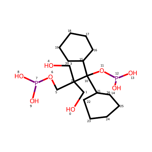 OCC(CO)(COP(O)O)C(OP(O)O)(C1CCCCC1)C1CCCCC1